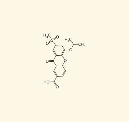 CC(C)Oc1cc(S(C)(=O)=O)cc2c(=O)c3cc(C(=O)O)ccc3oc12